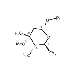 CO[C@]1(C)C[C@H](OC(C)C)O[C@@H](C)[C@@H]1C